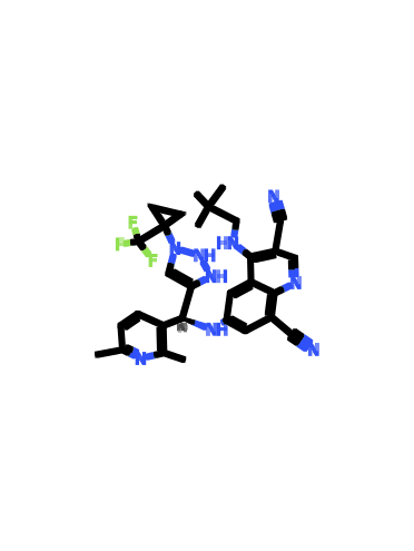 Cc1ccc([C@H](Nc2cc(C#N)c3ncc(C#N)c(NCC(C)(C)C)c3c2)C2=CN(C3(C(F)(F)F)CC3)NN2)c(C)n1